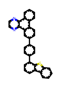 c1ccc2c(c1)sc1c(-c3ccc(-c4ccc5c6ccccc6c6nccnc6c5c4)cc3)cccc12